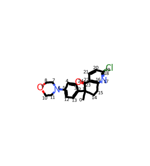 CC1(c2ccc(N3CCOCC3)cc2)CCc2nc(Cl)ccc2C1=O